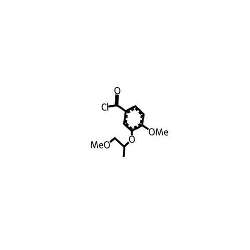 COCC(C)Oc1cc(C(=O)Cl)ccc1OC